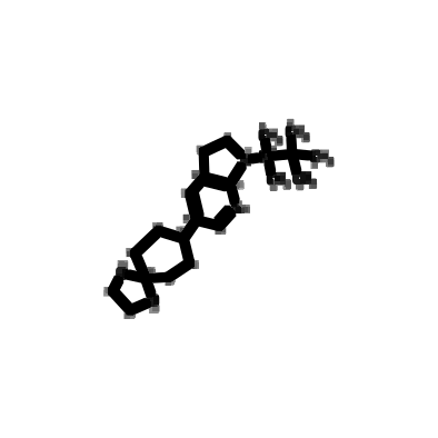 CC(C)(C)[Si](C)(C)N1CCc2cc(C3CCC4(CC3)OCCO4)cnc21